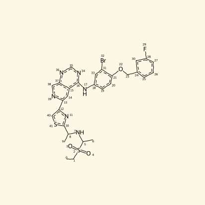 CCS(=O)(=O)C(C)NC(C)c1nc(-c2cc3c(Nc4ccc(OCc5cccc(F)c5)c(Br)c4)ncnc3cn2)cs1